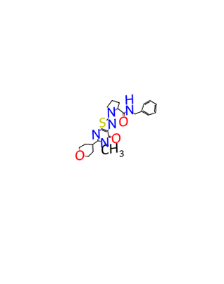 Cn1c(C2CCOCC2)nc2sc(N3CCCC3C(=O)NCc3ccccc3)nc2c1=O